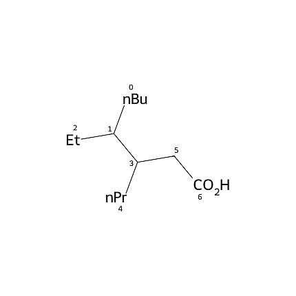 CCCCC(CC)C(CCC)CC(=O)O